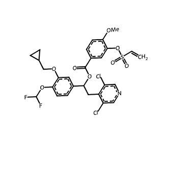 C=CS(=O)(=O)Oc1cc(C(=O)OC(Cc2c(Cl)cncc2Cl)c2ccc(OC(F)F)c(OCC3CC3)c2)ccc1OC